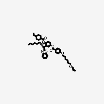 C=CCOCCCCCCOc1ccc(C(=O)Oc2ccc(OC(=O)C3CCC(CC)CC3)c(C(=NNCCCCCC)c3nc4ccccc4s3)c2)cc1